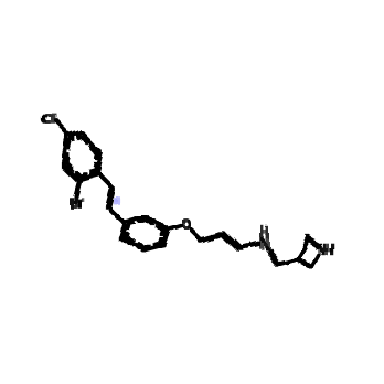 Clc1ccc(/C=C/c2cccc(OCCCNCC3CNC3)c2)c(Br)c1